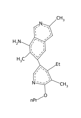 CCCOc1ncc(-c2cc3cc(C)ncc3c(N)c2C)c(CC)c1C